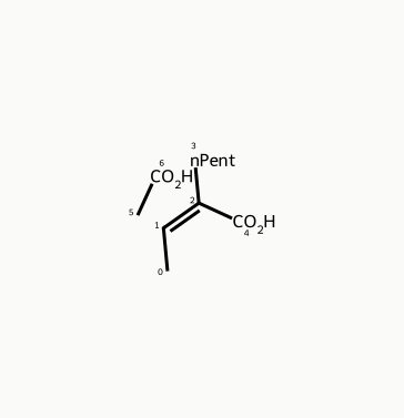 C/C=C(/CCCCC)C(=O)O.CC(=O)O